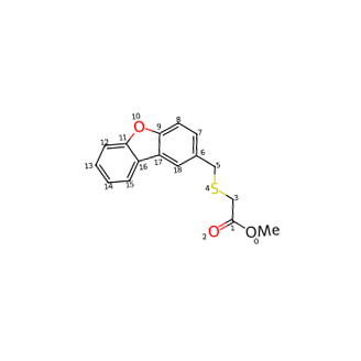 COC(=O)CSCc1ccc2oc3ccccc3c2c1